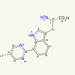 N[C@@H](Cc1c[nH]c2c(-c3ncc(I)cn3)cccc12)C(=O)O